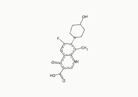 Cc1c(N2CCC(O)CC2)c(F)cc2c(=O)c(C(=O)O)c[nH]c12